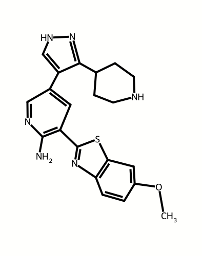 COc1ccc2nc(-c3cc(-c4c[nH]nc4C4CCNCC4)cnc3N)sc2c1